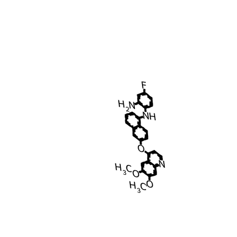 COc1cc2nccc(Oc3ccc4c(Nc5ccc(F)cc5N)cccc4c3)c2cc1OC